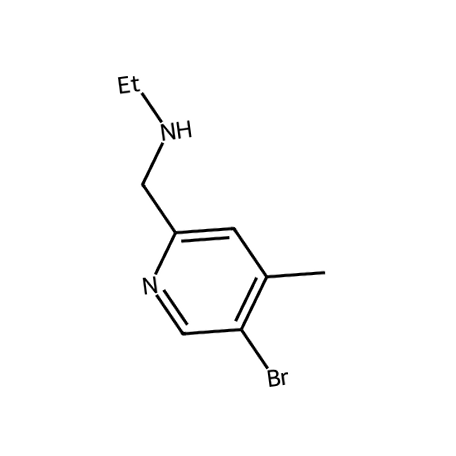 CCNCc1cc(C)c(Br)cn1